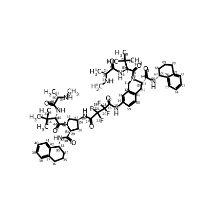 CN[C@@H](C)C(=O)N[C@H](C(=O)N1Cc2cc(NC(=O)C(F)(F)C(F)(F)C(=O)N[C@H]3C[C@@H](C(=O)N[C@@H]4CCCc5ccccc54)N(C(=O)[C@@H](NC(=O)[C@H](C)NC)C(C)(C)C)C3)ccc2C[C@H]1C(=O)N[C@@H]1CCCc2ccccc21)C(C)(C)C